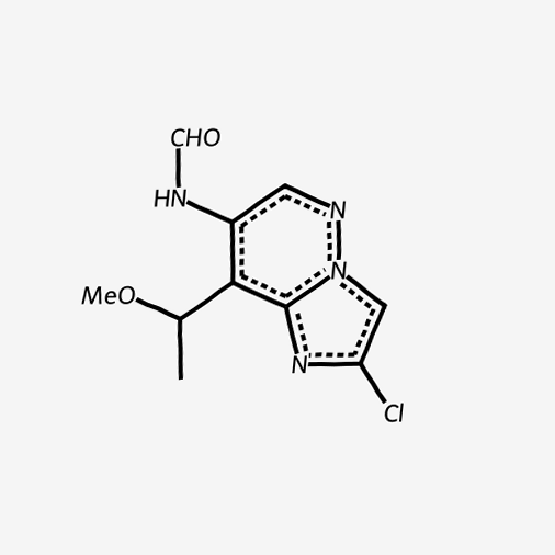 COC(C)c1c(NC=O)cnn2cc(Cl)nc12